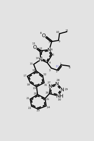 C/C=C/Cc1cn(C(=O)CCC)c(=O)n1Cc1ccc(-c2ccccc2-c2nnn[nH]2)cc1